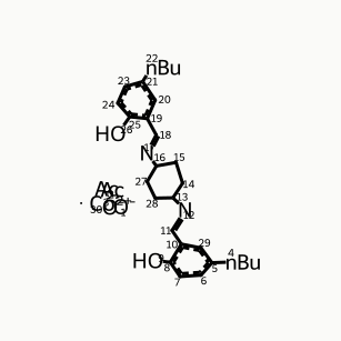 CC(=O)[O-].CC(=O)[O-].CCCCc1ccc(O)c(C=NC2CCC(N=Cc3cc(CCCC)ccc3O)CC2)c1.[Co+2]